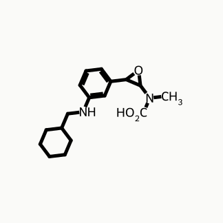 CN(C(=O)O)C1OC1c1cccc(NCC2CCCCC2)c1